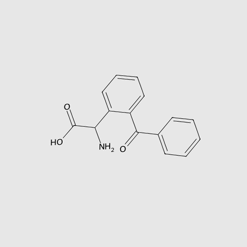 NC(C(=O)O)c1ccccc1C(=O)c1ccccc1